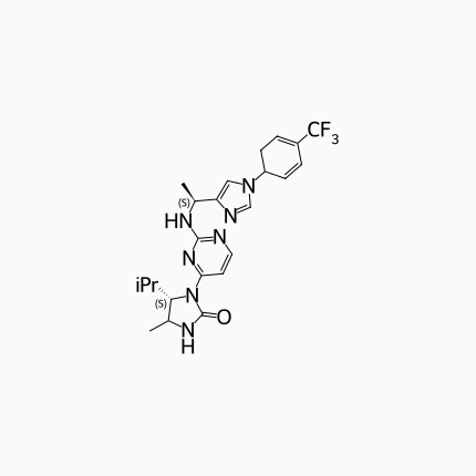 CC(C)[C@H]1C(C)NC(=O)N1c1ccnc(N[C@@H](C)c2cn(C3C=CC(C(F)(F)F)=CC3)cn2)n1